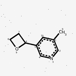 Cc1cncc(C2CCO2)c1